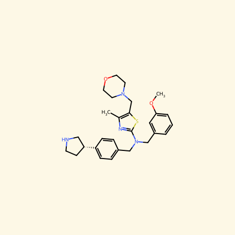 COc1cccc(CN(Cc2ccc([C@@H]3CCNC3)cc2)c2nc(C)c(CN3CCOCC3)s2)c1